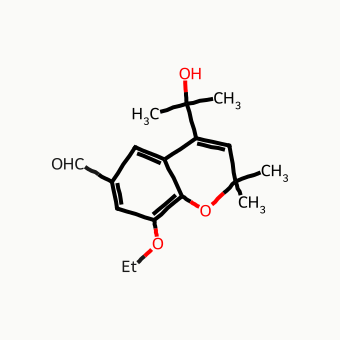 CCOc1cc(C=O)cc2c1OC(C)(C)C=C2C(C)(C)O